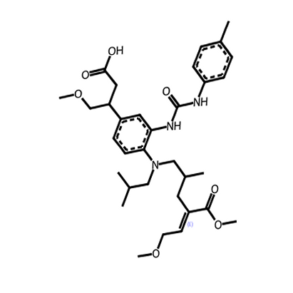 COC/C=C(\CC(C)CN(CC(C)C)c1ccc(C(COC)CC(=O)O)cc1NC(=O)Nc1ccc(C)cc1)C(=O)OC